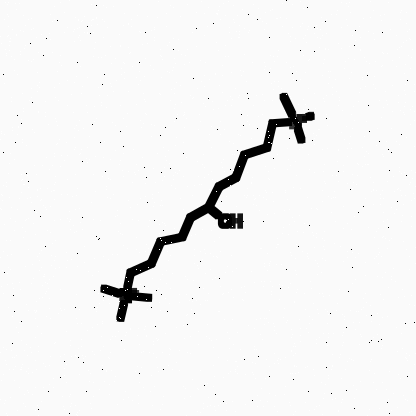 C[N+](C)(C)CCCCCC(O)CCCCC[N+](C)(C)C